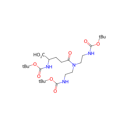 CC(C)(C)OC(=O)NCCN(CCNC(=O)OC(C)(C)C)C(=O)CCC(NC(=O)OC(C)(C)C)C(=O)O